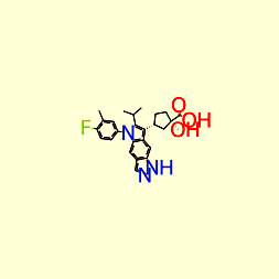 Cc1cc(-n2c(C(C)C)c([C@@H]3CC[C@@](O)(C(=O)O)C3)c3cc4[nH]ncc4cc32)ccc1F